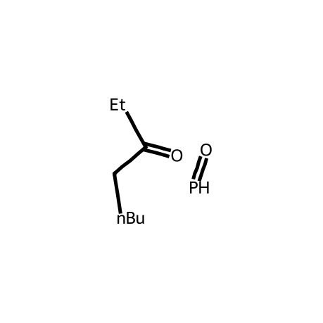 CCCCCC(=O)CC.O=P